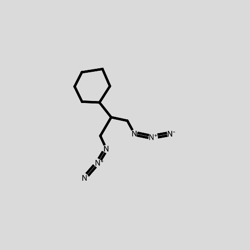 [N-]=[N+]=NCC(CN=[N+]=[N-])C1CCCCC1